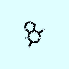 O=c1cnc(=O)c2cncnc2[nH]1